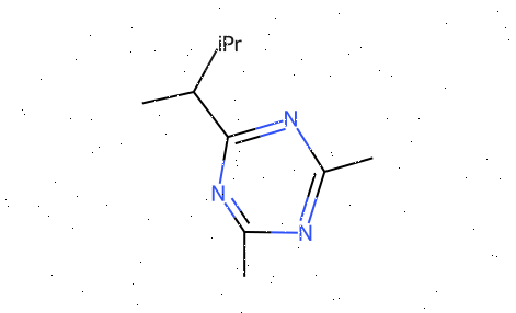 Cc1nc(C)nc(C(C)C(C)C)n1